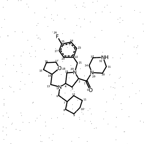 O=C(C1CC(N(CC2CCCCC2)CC2CCCO2)CN1Cc1ccc(F)cc1)N1CCNCC1